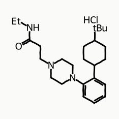 CCNC(=O)CCN1CCN(c2ccccc2C2CCC(C(C)(C)C)CC2)CC1.Cl